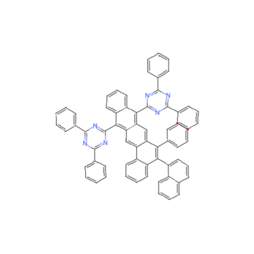 c1ccc(-c2nc(-c3ccccc3)nc(-c3c4ccccc4c(-c4nc(-c5ccccc5)nc(-c5ccccc5)n4)c4cc5c(cc34)c(-c3ccccc3)c(-c3cccc4ccccc34)c3ccccc35)n2)cc1